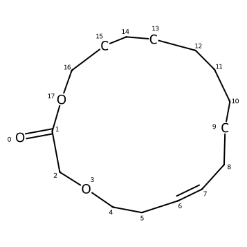 O=C1COCC/C=C/CCCCCCCCCO1